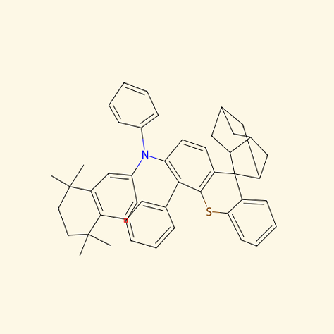 CC1(C)CCC(C)(C)c2cc(N(c3ccccc3)c3ccc4c(c3-c3ccccc3)Sc3ccccc3C43C4CC5CC(C4)C3C5)ccc21